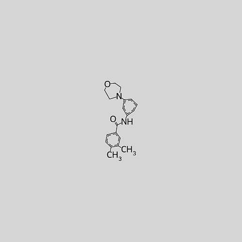 Cc1ccc(C(=O)Nc2cccc(N3CCOCC3)c2)cc1C